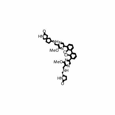 COc1nc(-c2cccc(-c3cccc(-c4cnc(CNC5CCC6(CNC(=O)C6)C5)c(OC)n4)c3Cl)c2Cl)cnc1CNC[C@H]1CCC(=O)N1